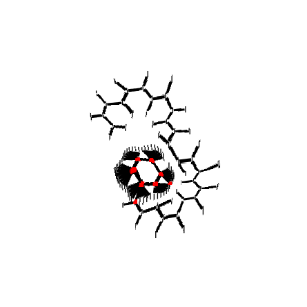 II(I)I(I)I(I)I(I)I(I)I(I)I(I)I(I)I(I)I(I)I(I)I(I)I(I)I(I)I(I)I(I)I(I)I(I)I(I)I(I)I(I)I(I)I(I)I(I)I(I)I(I)I(I)I(I)I(I)I(I)I(I)I(I)I(I)I(I)I(I)I(I)I(I)I(I)I(I)I(I)I(I)I(I)I(I)I(I)I(I)I(I)I(I)I(I)I(I)I(I)I(I)I(I)I(I)I(I)I(I)I(I)I(I)I(I)I(I)I(I)I(I)I(I)I(I)I(I)I(I)I(I)I(I)I(I)I(I)I(I)I(I)I(I)I(I)I